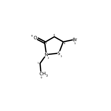 CCN1SC(Br)CC1=O